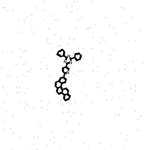 c1ccc(-c2nc(-c3ccccc3)nc(-c3ccc(-c4ccc5c(ccc6ccc7c8ccccc8ccc7c65)c4)nc3)n2)cc1